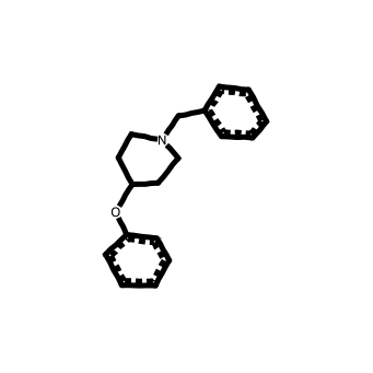 [c]1ccccc1OC1CCN(Cc2ccccc2)CC1